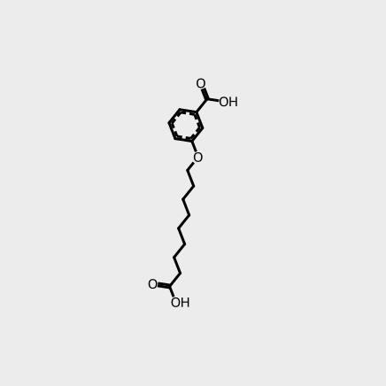 O=C(O)CCCCCCCCOc1cccc(C(=O)O)c1